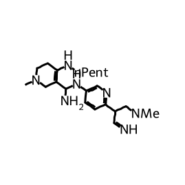 CCCCCNC1=C(C(N)Nc2ccc(C(C=N)CNC)nc2)CN(C)CC1